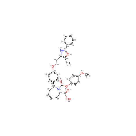 COc1ccc(OC(=O)N2[C@H](C(=O)O)CC=CC[C@H]2c2ccc(OCCc3nc(-c4ccccc4)oc3C)cc2)cc1